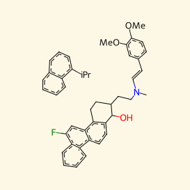 CC(C)c1cccc2ccccc12.COc1ccc(C=CN(C)CCC2CCc3c(ccc4c3cc(F)c3ccccc34)C2O)cc1OC